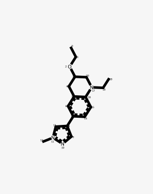 CCOC1Cc2cc(-c3cnn(C)c3)ccc2N(CC)C1